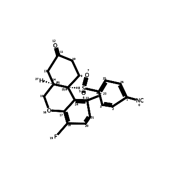 [C-]#[N+]c1ccc(S(=O)(=O)[C@@]23CCC(=O)C[C@@H]2COc2c(F)ccc(F)c23)cc1